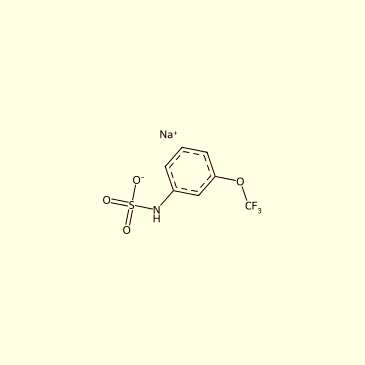 O=S(=O)([O-])Nc1cccc(OC(F)(F)F)c1.[Na+]